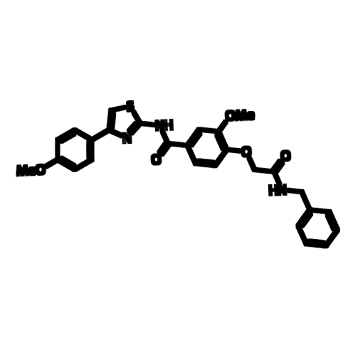 COc1ccc(-c2csc(NC(=O)c3ccc(OCC(=O)NCc4ccccc4)c(OC)c3)n2)cc1